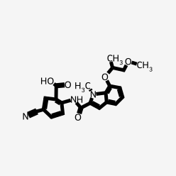 COCC(C)Oc1cccc2cc(C(=O)Nc3ccc(C#N)cc3C(=O)O)n(C)c12